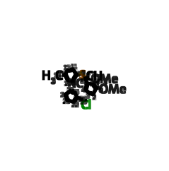 COc1cccc(C(C)(C#N)Sc2ccc(C)cc2)c1OC.ClCc1ccccc1